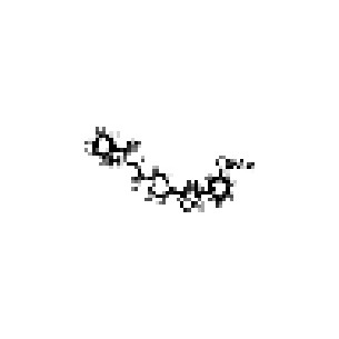 COc1cccc(-c2noc(C3CCN(C(=O)CNC(=O)c4ccccc4)CC3)n2)c1